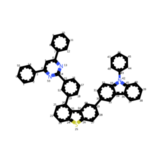 c1ccc(-c2cc(-c3ccccc3)nc(-c3cccc(-c4cccc5sc6ccc(-c7ccc8c(c7)c7ccccc7n8-c7ccccc7)cc6c45)c3)n2)cc1